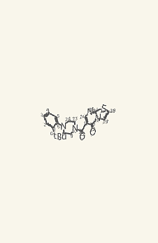 CC(C)(C)c1ccccc1N1CCN(C(=O)c2cnc3sccn3c2=O)CC1